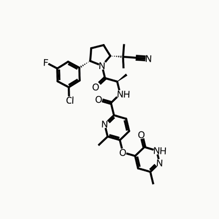 Cc1cc(Oc2ccc(C(=O)N[C@H](C)C(=O)N3[C@H](c4cc(F)cc(Cl)c4)CC[C@@H]3C(C)(C)C#N)nc2C)c(=O)[nH]n1